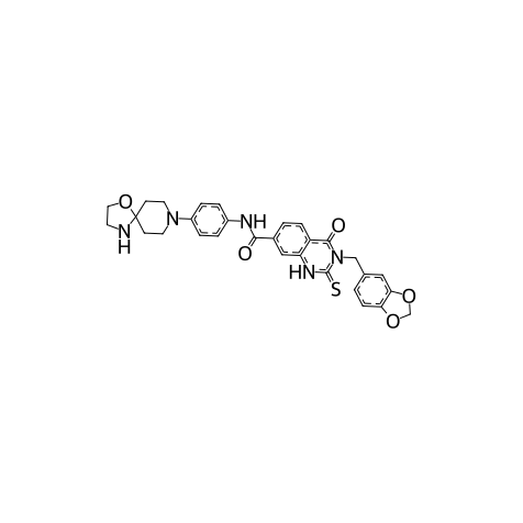 O=C(Nc1ccc(N2CCC3(CC2)NCCO3)cc1)c1ccc2c(=O)n(Cc3ccc4c(c3)OCO4)c(=S)[nH]c2c1